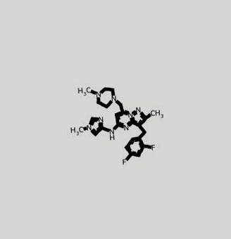 Cc1nn2c(CN3CCN(C)CC3)cc(Nc3cn(C)cn3)nc2c1Cc1ccc(F)cc1F